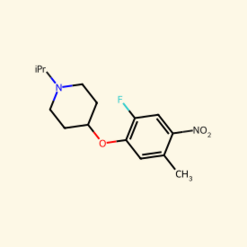 Cc1cc(OC2CCN(C(C)C)CC2)c(F)cc1[N+](=O)[O-]